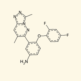 Cc1cc2nnc(C)n2nc1-c1cc(N)ccc1Oc1ccc(F)cc1F